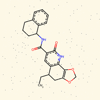 CCC1CC2=C(OCO2)c2[nH]c(=O)c(C(=O)NC3CCCc4ccccc43)cc21